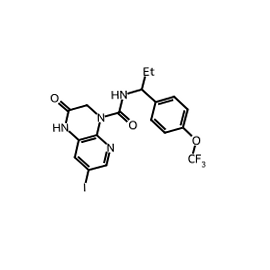 CCC(NC(=O)N1CC(=O)Nc2cc(I)cnc21)c1ccc(OC(F)(F)F)cc1